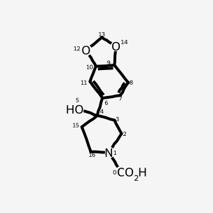 O=C(O)N1CCC(O)(c2ccc3c(c2)OCO3)CC1